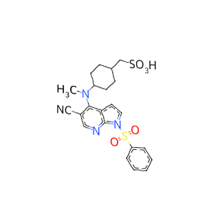 CN(c1c(C#N)cnc2c1ccn2S(=O)(=O)c1ccccc1)C1CCC(CS(=O)(=O)O)CC1